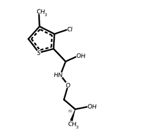 Cc1csc(C(O)NOC[C@H](C)O)c1Cl